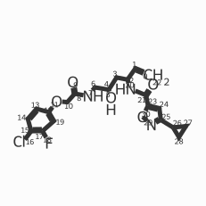 C=CC(CC(O)CNC(=O)COc1ccc(Cl)c(F)c1)NC(=O)c1cc(C2CC2)no1